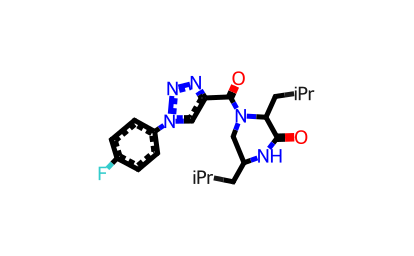 CC(C)CC1CN(C(=O)c2cn(-c3ccc(F)cc3)nn2)C(CC(C)C)C(=O)N1